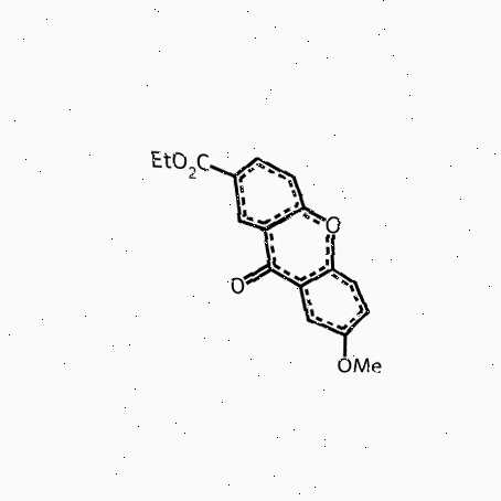 CCOC(=O)c1ccc2oc3ccc(OC)cc3c(=O)c2c1